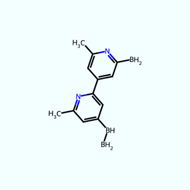 BBc1cc(C)nc(-c2cc(B)nc(C)c2)c1